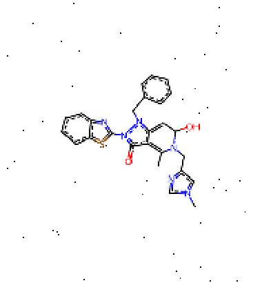 CC1=c2c(n(Cc3ccccc3)n(-c3nc4ccccc4s3)c2=O)=CC(O)N1Cc1cn(C)cn1